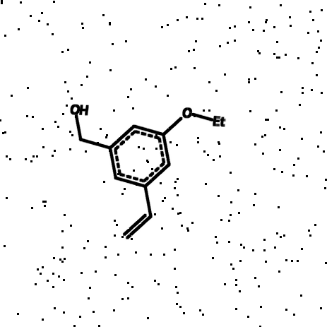 C=Cc1cc(CO)cc(OCC)c1